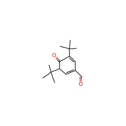 CC(C)(C)C1=CC([C]=O)=CC(C(C)(C)C)C1=O